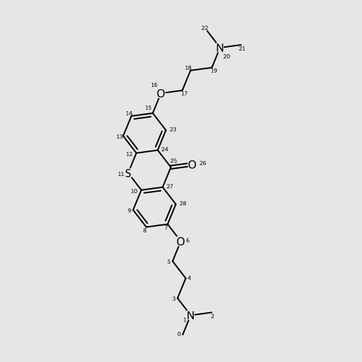 CN(C)CCCOc1ccc2sc3ccc(OCCCN(C)C)cc3c(=O)c2c1